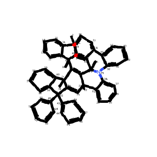 CC1(C)C2=CC3(C)C4=C(C2(C)c2ccccc21)C1(C)C(=CC4(C)c2ccccc2N3c2ccccc2-c2ccccc2)C(c2ccccc2)(c2ccccc2)c2ccccc21